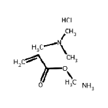 C=CC(=O)OC.CN(C)C.Cl.N